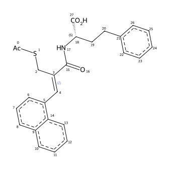 CC(=O)SC/C(=C\c1cccc2ccccc12)C(=O)N[C@@H](CCc1ccccc1)C(=O)O